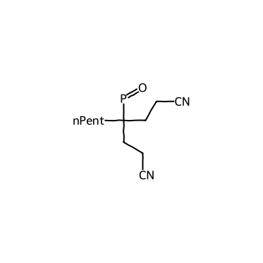 CCCCCC(CCC#N)(CCC#N)P=O